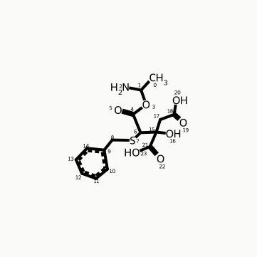 CC(N)OC(=O)C(SCc1ccccc1)C(O)(CC(=O)O)C(=O)O